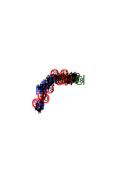 O=C(CCN1CCCC1=O)OCc1ncc2n1C(=O)N(C1CCN(C(=O)[C@H](O)CS(=O)(=O)c3ccc4cc(Cl)ccc4c3)CC1)C2